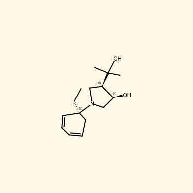 CC[C@@]1(N2C[C@@H](C(C)(C)O)[C@@H](O)C2)C=CC=CC1